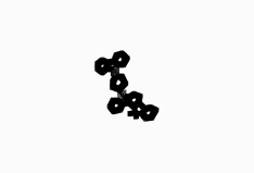 CC1(C)c2ccccc2-c2ccc3c(c21)c1ccccc1n3-c1ccc(-n2c3ccccc3c3ccccc32)cc1